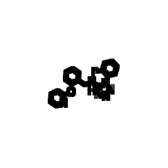 Fc1ccccc1-n1nnnc1NCc1ccccc1Oc1ccccn1